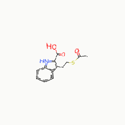 CC(=O)SCCc1c(C(=O)O)[nH]c2ccccc12